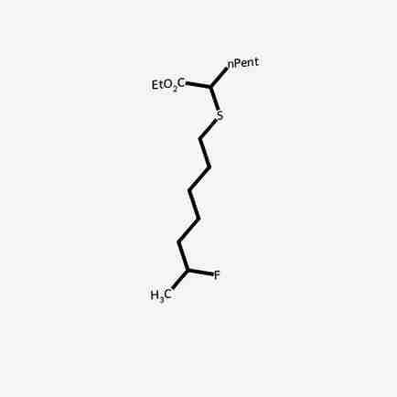 CCCCCC(SCCCCCC(C)F)C(=O)OCC